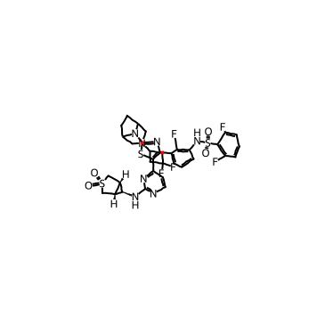 O=S1(=O)C[C@@H]2[C@H](C1)[C@H]2Nc1nccc(-c2sc(N3C4CCC3CN(C3CC(F)(F)C3)C4)nc2-c2cccc(NS(=O)(=O)c3c(F)cccc3F)c2F)n1